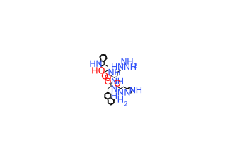 N=C(N)NCCC[C@H](NC(=O)[C@H](Cc1ccc2ccccc2c1)NC(=O)[C@@H](N)Cc1c[nH]cn1)C(=O)N[C@@H](Cc1c[nH]c2ccccc12)C(=O)O